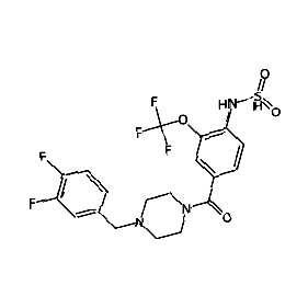 O=C(c1ccc(N[SH](=O)=O)c(OC(F)(F)F)c1)N1CCN(Cc2ccc(F)c(F)c2)CC1